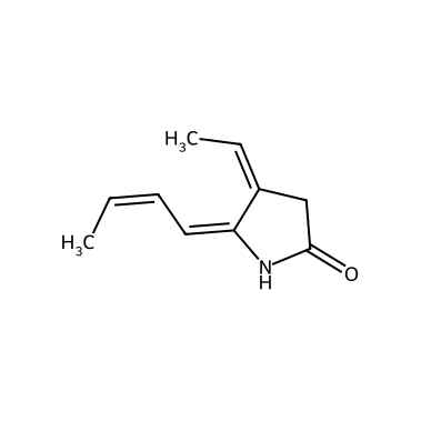 C\C=C/C=C1/NC(=O)C/C1=C/C